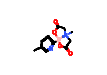 Cc1ccc([B-]23OC(=O)C[N+]2(C)CC(=O)O3)nc1